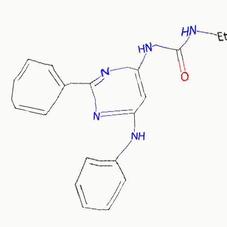 CCNC(=O)Nc1cc(Nc2ccccc2)nc(-c2ccccc2)n1